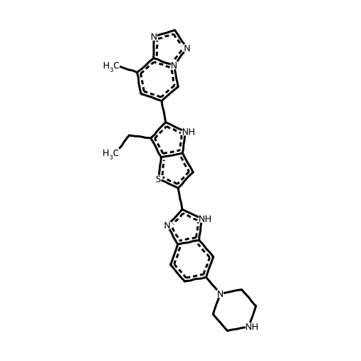 CCc1c(-c2cc(C)c3ncnn3c2)[nH]c2cc(-c3nc4ccc(N5CCNCC5)cc4[nH]3)sc12